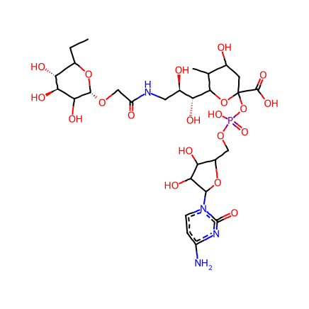 CCC1O[C@H](OCC(=O)NC[C@@H](O)[C@@H](O)C2OC(OP(=O)(O)OCC3OC(n4ccc(N)nc4=O)C(O)C3O)(C(=O)O)CC(O)C2C)C(O)[C@@H](O)[C@@H]1O